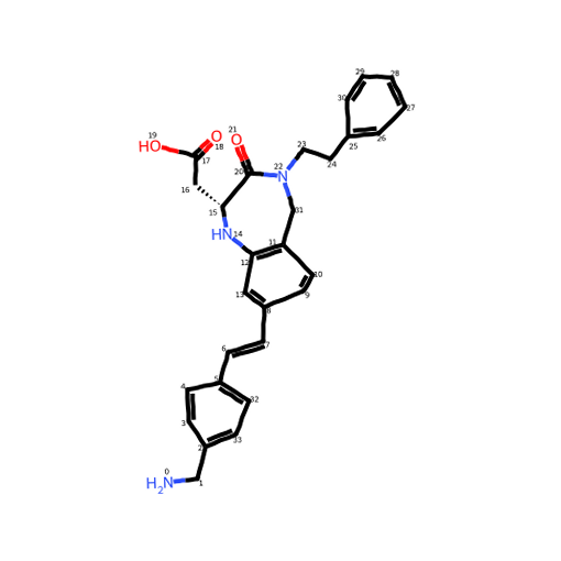 NCc1ccc(C=Cc2ccc3c(c2)N[C@H](CC(=O)O)C(=O)N(CCc2ccccc2)C3)cc1